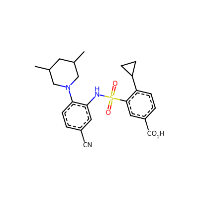 CC1CC(C)CN(c2ccc(C#N)cc2NS(=O)(=O)c2cc(C(=O)O)ccc2C2CC2)C1